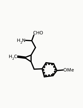 C=C1C(Cc2ccc(OC)cc2)C1CC(N)C=O